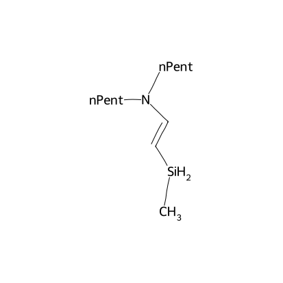 CCCCCN(C=C[SiH2]C)CCCCC